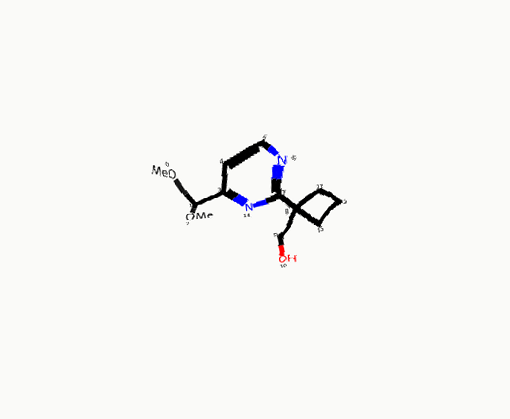 COC(OC)c1ccnc(C2(CO)CCC2)n1